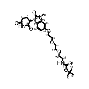 Cn1c(=O)n(C2CCC(=O)NC2=O)c2ccc(OCCOCCOCCNC(=O)OC(C)(C)C)cc21